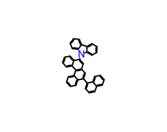 c1ccc2c(-c3cc4cc(-n5c6ccccc6c6ccccc65)c5ccccc5c4c4ccccc34)cccc2c1